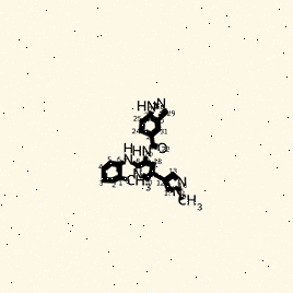 Cc1ccccc1Nc1ncc(-c2cnn(C)c2)cc1NC(=O)c1ccc2[nH]ncc2c1